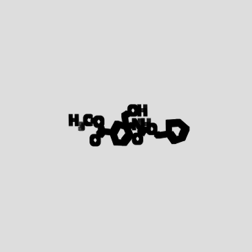 COC(=O)C1=CC(CO)(NC(=O)OCc2ccccc2)C=CC1